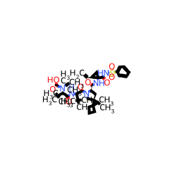 C=C[C@@H]1C[C@]1(NC(=O)[C@@H]1C[C@@]2(CN1C(=O)C(NC(=O)[C@@H](N(C(=O)O)C(C)(C)C)C(C)(C)C)C(C)(C)C)C(C)(C)C21CCC1)C(=O)NS(=O)(=O)c1ccccc1